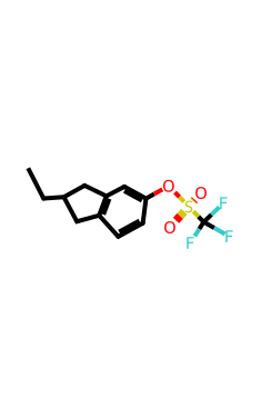 CCC1Cc2ccc(OS(=O)(=O)C(F)(F)F)cc2C1